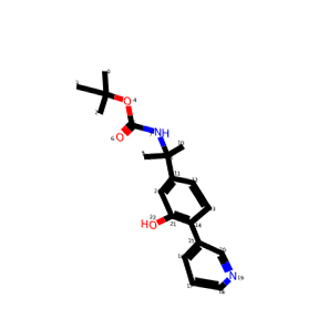 CC(C)(C)OC(=O)NC(C)(C)c1ccc(-c2cccnc2)c(O)c1